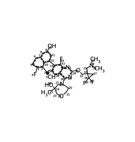 C#Cc1c(F)ccc2cc(O)cc(-c3c(F)cc4c(N5CCOCC(C)(O)C5)nc(OCC5(CN(C)C)CC5(F)F)nc4c3F)c12